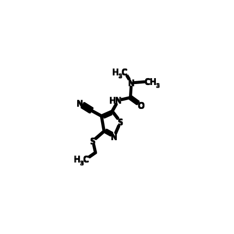 CCSc1nsc(NC(=O)N(C)C)c1C#N